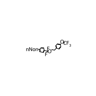 CCCCCCCCCc1ccc(C(F)(F)OCCc2ccc(OC(F)(F)F)cc2)cc1